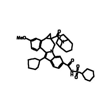 COc1ccc2c(c1)C1CC1(C(=O)N1C3CCCC1COC3)Cn1c-2c(C2CCCCC2)c2ccc(C(=O)NS(=O)(=O)C3CCCCC3)cc21